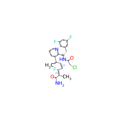 C=C(/C=C\C(F)=C(/C)C(N)=O)c1cccnc1[C@H](Cc1cc(F)cc(F)c1)NC(=O)CCl